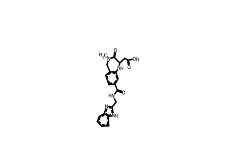 CN1Cc2ccc(C(=O)NCc3nc4ccccc4[nH]3)cc2NC(CC(=O)O)C1=O